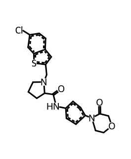 O=C(Nc1ccc(N2CCOCC2=O)cc1)C1CCCN1Cc1cc2ccc(Cl)cc2s1